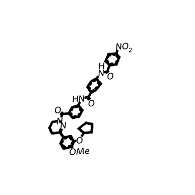 COc1ccc(C2=NN(C(=O)c3cccc(NC(=O)c4ccc(NC(=O)c5ccc([N+](=O)[O-])cc5)cc4)c3)CCC2)cc1OC1CCCC1